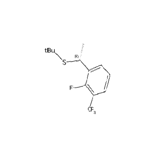 C[C@@H](SC(C)(C)C)c1cccc(C(F)(F)F)c1F